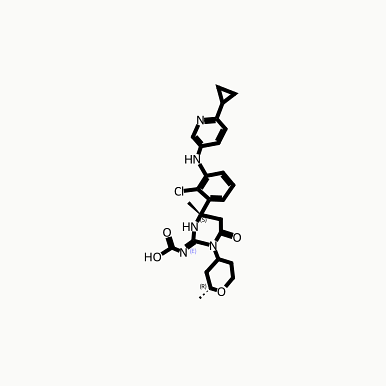 C[C@@H]1CC(N2C(=O)C[C@@](C)(c3cccc(Nc4ccc(C5CC5)nc4)c3Cl)N/C2=N\C(=O)O)CCO1